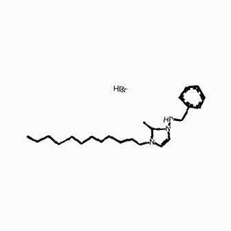 Br.CCCCCCCCCCCCN1C=CN(PCc2ccccc2)C1C